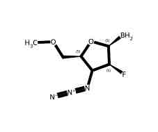 B[C@@H]1O[C@H](COC)C(N=[N+]=[N-])[C@@H]1F